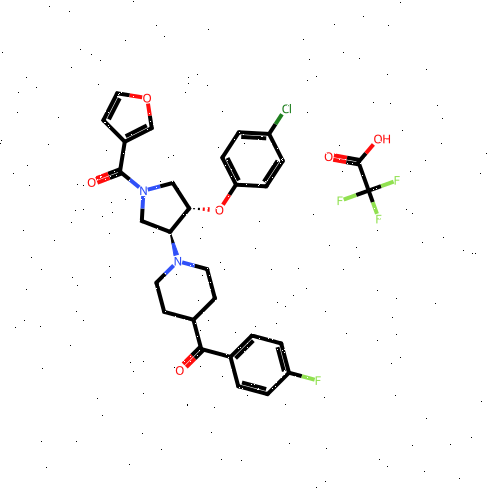 O=C(O)C(F)(F)F.O=C(c1ccc(F)cc1)C1CCN([C@H]2CN(C(=O)c3ccoc3)C[C@@H]2Oc2ccc(Cl)cc2)CC1